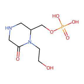 O=C1CNCC(COP(=O)(O)O)N1CCO